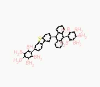 Bc1c(B)c(B)c(-c2ccc3c(c2)sc2ccc(-c4c5ccccc5c(-c5c(B)c(B)c(B)c(B)c5B)c5ccccc45)cc23)c(B)c1B